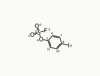 O=S(=O)(F)Oc1ccc(I)cc1